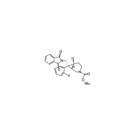 CC(C)(C)OC(=O)N1CC[C@@H]2[C@H](C1)[C@@]2(CN1C(=O)c2ccccc2C1=O)c1ccccc1F